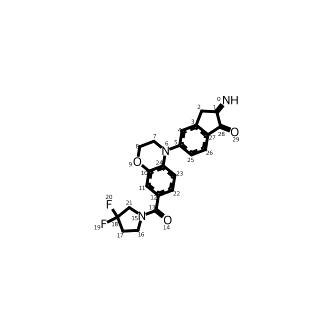 N=C1Cc2cc(N3CCOc4cc(C(=O)N5CCC(F)(F)C5)ccc43)ccc2C1=O